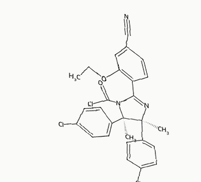 CCOc1cc(C#N)ccc1C1=N[C@@](C)(c2ccc(Cl)cc2)[C@@](C)(c2ccc(Cl)cc2)N1C(=O)Cl